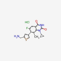 Cc1c(-c2csc(CN)c2)c(F)cc2c(=O)[nH]c(=O)n(C3CC3)c12.Cl